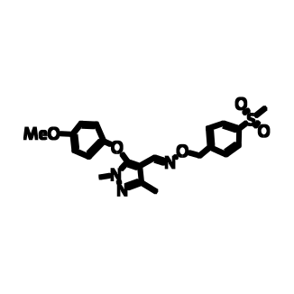 COc1ccc(Oc2c(C=NOCc3ccc(S(C)(=O)=O)cc3)c(C)nn2C)cc1